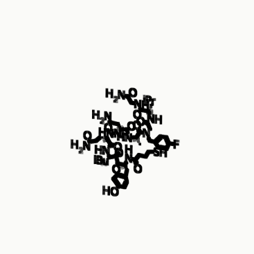 CC[C@H](C)C(NC(=O)[C@H](CCC(N)=O)NN[C@@H](CC(N)=O)C(=O)N[C@@H](C)C(=O)N(CC(=O)N[C@@H](CC(C)C)C(=O)NCC(N)=O)Cc1ccc(F)cc1)C(=O)C(=O)[C@H](Cc1ccc(O)cc1)NC(=O)CCCS